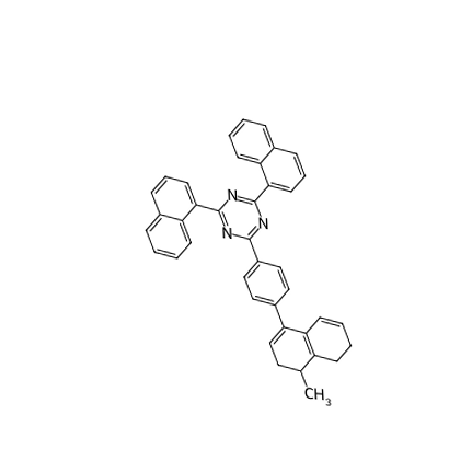 CC1CC=C(c2ccc(-c3nc(-c4cccc5ccccc45)nc(-c4cccc5ccccc45)n3)cc2)C2=C1CCC=C2